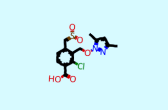 Cc1cc(C)n(OCc2c(C=S(=O)=O)ccc(C(=O)O)c2Cl)n1